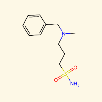 CN(CCCS(N)(=O)=O)Cc1ccccc1